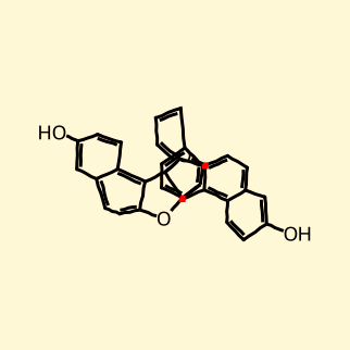 Oc1ccc2c3c(ccc2c1)OC12c4c(ccc5cc(O)ccc45)OC31c1cccc3cccc2c13